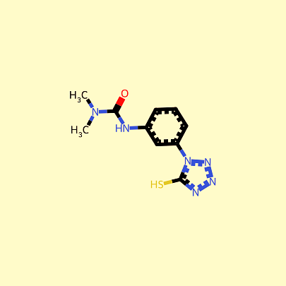 CN(C)C(=O)Nc1cccc(-n2nnnc2S)c1